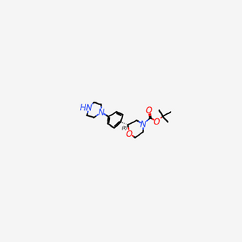 CC(C)(C)OC(=O)N1CCO[C@H](c2ccc(N3CCNCC3)cc2)C1